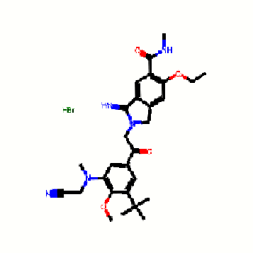 Br.CCOc1cc2c(cc1C(=O)NC)C(=N)N(CC(=O)c1cc(N(C)CC#N)c(OC)c(C(C)(C)C)c1)C2